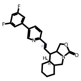 O=C1OCC2C(/C=C/c3ccc(-c4cc(F)cc(F)c4)cn3)[C@@H]3CCCCC3CN12